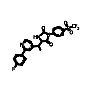 CC(c1ccnc(-c2ccc(F)cc2)c1)C1NC(=O)N(c2ccc(S(=O)(=O)C(F)(F)F)cc2)C1=O